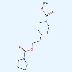 CC(C)(C)OC(=O)N1CCC(CCOC(=O)N2CCCC2)CC1